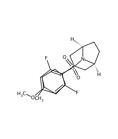 COc1cc(F)c(S(=O)(=O)N2[C@@H]3CC[C@H]2CC(N2CCC(C)CC2)C3)c(F)c1